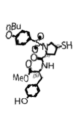 CCCCOc1ccc(S(=O)(=O)N2C[C@@H](S)C[C@H]2C(=O)N[C@@H](Cc2ccc(O)cc2)C(=O)OC)cc1